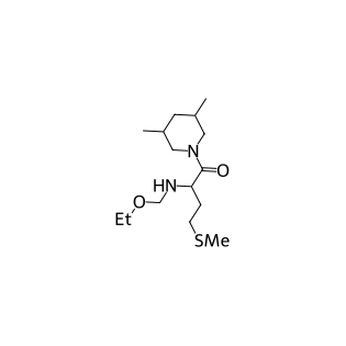 CCOCNC(CCSC)C(=O)N1CC(C)CC(C)C1